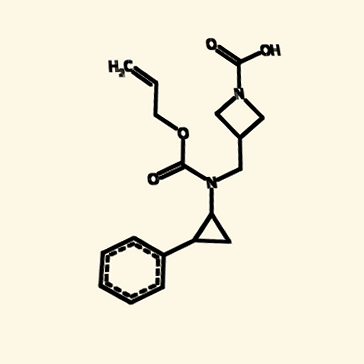 C=CCOC(=O)N(CC1CN(C(=O)O)C1)C1CC1c1ccccc1